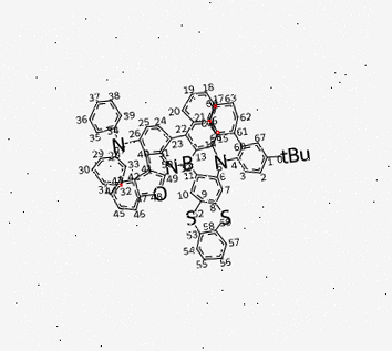 CC(C)(C)c1ccc(N2c3cc4c(cc3B3c5c2cc2ccccc2c5-c2ccc(N(c5ccccc5)c5ccccc5)c5c6c7ccccc7oc6n3c25)Sc2ccccc2S4)c(-c2ccccc2)c1